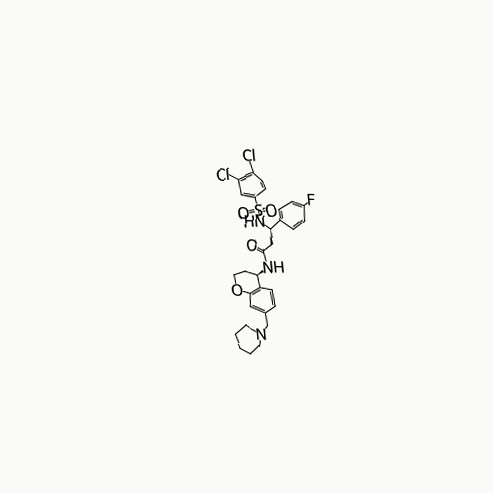 O=C(C[C@@H](NS(=O)(=O)c1ccc(Cl)c(Cl)c1)c1ccc(F)cc1)N[C@@H]1CCOc2cc(CN3CCCCC3)ccc21